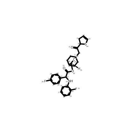 O=C(C[N+]12CCC(CC1)[C@@H](OC(=O)C(Nc1ccccc1F)c1ccc(F)cc1)C2)C1CC=CS1